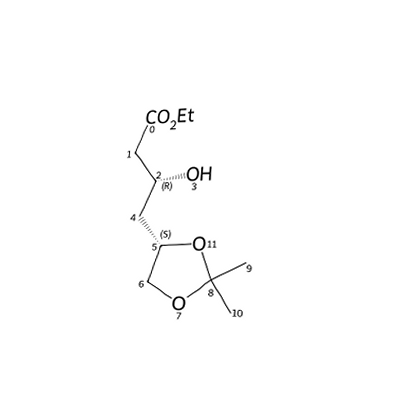 CCOC(=O)C[C@H](O)C[C@H]1COC(C)(C)O1